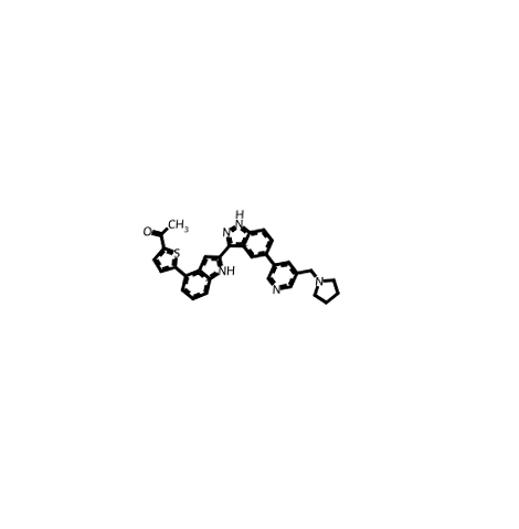 CC(=O)c1ccc(-c2cccc3[nH]c(-c4n[nH]c5ccc(-c6cncc(CN7CCCC7)c6)cc45)cc23)s1